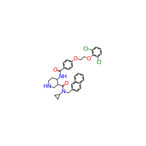 O=C(NC1CCNCC1C(=O)N(Cc1ccc2ccccc2c1)C1CC1)c1ccc(OCCOc2c(Cl)cccc2Cl)cc1